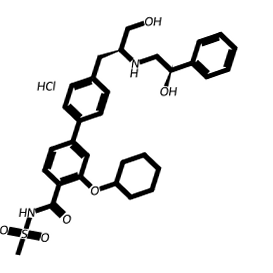 CS(=O)(=O)NC(=O)c1ccc(-c2ccc(C[C@@H](CO)NC[C@H](O)c3ccccc3)cc2)cc1OC1CCCCC1.Cl